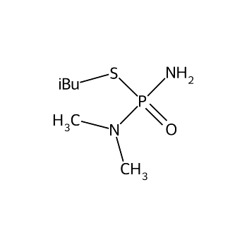 CCC(C)SP(N)(=O)N(C)C